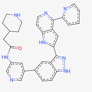 O=C(CC1CCNCC1)Nc1cncc(-c2ccc3[nH]nc(-c4cc5c(-c6ccccn6)nccc5[nH]4)c3c2)c1